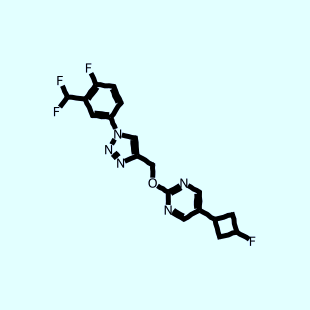 Fc1ccc(-n2cc(COc3ncc(C4CC(F)C4)cn3)nn2)cc1C(F)F